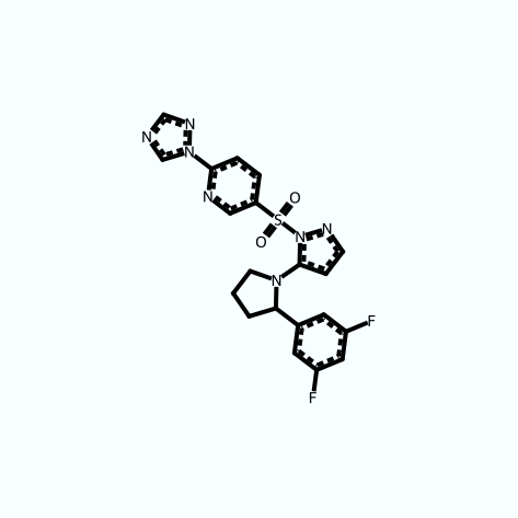 O=S(=O)(c1ccc(-n2cncn2)nc1)n1nccc1N1CCCC1c1cc(F)cc(F)c1